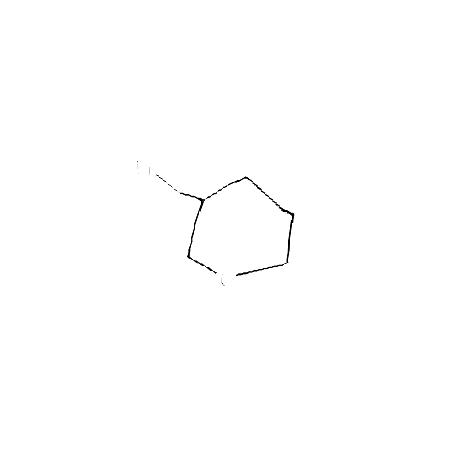 CCC1CC[C@H](C)OC1